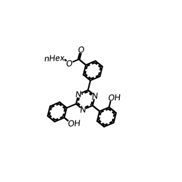 CCCCCCOC(=O)c1cccc(-c2nc(-c3ccccc3O)nc(-c3ccccc3O)n2)c1